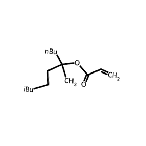 C=CC(=O)OC(C)(CCCC)CCC(C)CC